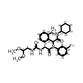 COC(CNC(=O)NCC(=O)N(c1cccc(F)c1)C(C(=O)NC1CCCCC1)c1ccccc1C)OC